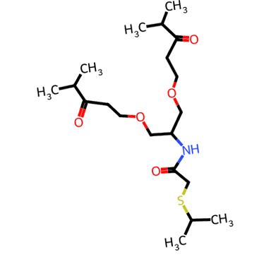 CC(C)SCC(=O)NC(COCCC(=O)C(C)C)COCCC(=O)C(C)C